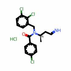 C[C@H](CC=N)N(Cc1cccc(Cl)c1Cl)C(=O)c1ccc(Cl)cc1.Cl